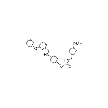 COc1ccc(CNC(=O)[C@@H]2C[C@H]2c2ccc(NCc3cccc(Oc4ccccc4)c3)cc2)cc1